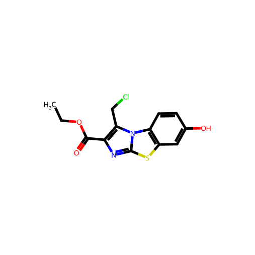 CCOC(=O)c1nc2sc3cc(O)ccc3n2c1CCl